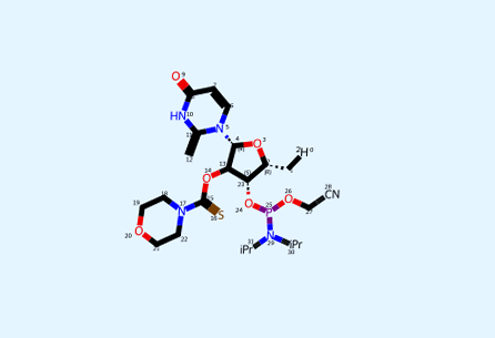 [2H]C[C@H]1O[C@@H](N2C=CC(=O)NC2=C)C(OC(=S)N2CCOCC2)[C@H]1OP(OCC#N)N(C(C)C)C(C)C